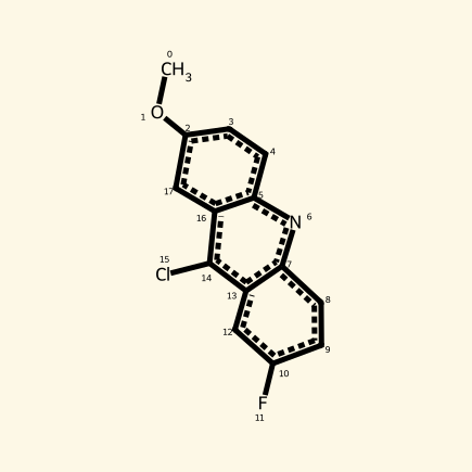 COc1ccc2nc3ccc(F)cc3c(Cl)c2c1